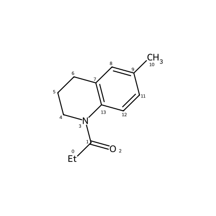 CCC(=O)N1CCCc2cc(C)ccc21